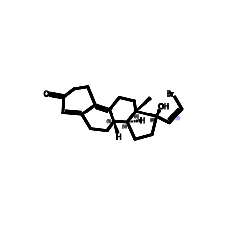 C[C@]12CCC3=C4CCC(=O)C=C4CC[C@H]3[C@@H]1CC[C@@]2(O)/C=C\Br